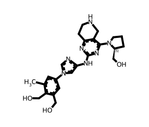 Cc1cc(-n2cnc(Nc3nc4c(c(N5CCC[C@H]5CO)n3)CNCC4)c2)cc(CO)c1CO